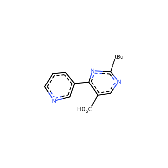 CC(C)(C)c1ncc(C(=O)O)c(-c2cccnc2)n1